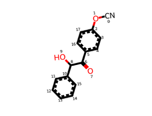 N#COc1ccc(C(=O)C(O)c2ccccc2)cc1